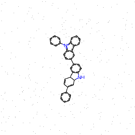 C1=CC2c3cc(-c4ccc5c(c4)c4ccccc4n5-c4ccccc4)ccc3NC2C=C1c1ccccc1